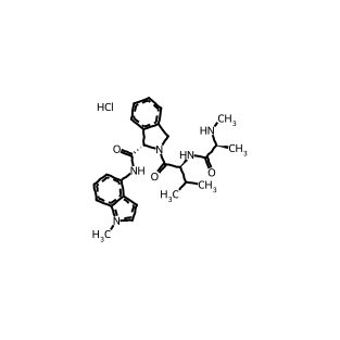 CN[C@@H](C)C(=O)N[C@H](C(=O)N1Cc2ccccc2[C@H]1C(=O)Nc1cccc2c1ccn2C)C(C)C.Cl